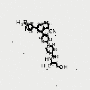 C[C@@H](CCO)NC(=O)N1CCN(c2ccc(-c3cc(-c4cnn(C)c4)cn4ncc(C#N)c34)cn2)CC1